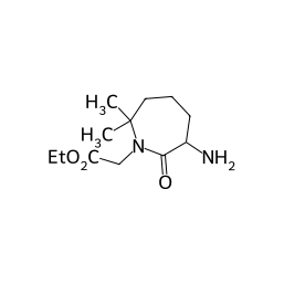 CCOC(=O)CN1C(=O)C(N)CCCC1(C)C